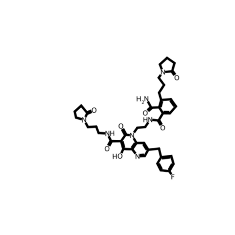 NC(=O)c1c(CCCN2CCCC2=O)cccc1C(=O)NCCn1c(=O)c(C(=O)NCCCN2CCCC2=O)c(O)c2ncc(Cc3ccc(F)cc3)cc21